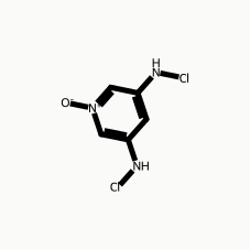 [O-][n+]1cc(NCl)cc(NCl)c1